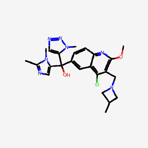 COc1nc2ccc(C(O)(c3cnnn3C)c3cnc(C)n3C)cc2c(Cl)c1CN1CC(C)C1